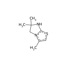 [CH2]c1csc2[n+]1CC(C)(C)N2